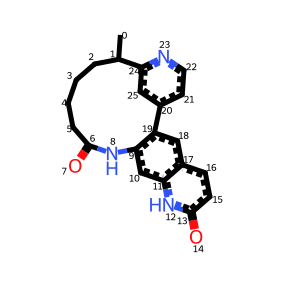 CC1CCCCC(=O)Nc2cc3[nH]c(=O)ccc3cc2-c2ccnc1c2